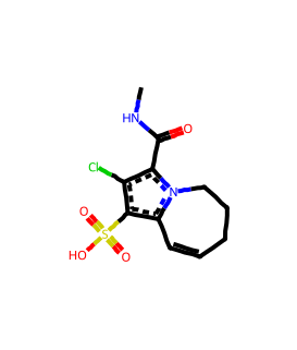 CNC(=O)c1c(Cl)c(S(=O)(=O)O)c2n1CCCC=C2